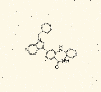 O=C1Nc2ccccc2Nc2cc(-c3cn(Cc4ccccc4)c4cnccc34)ccc21